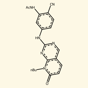 CCCCn1c(=O)ccc2cnc(Nc3ccc(C#N)c(NC(C)=O)c3)nc21